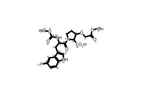 CC(C)(C)OC(=O)COC1CCN(C(=O)C(Cc2c[nH]c3ccc(F)cc23)NC(=O)OC(C)(C)C)C1C(=O)O